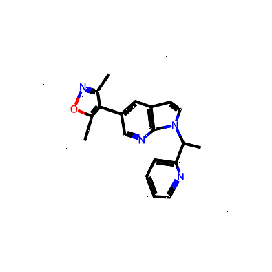 Cc1noc(C)c1-c1cnc2c(ccn2C(C)c2ccccn2)c1